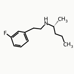 CCC[C@@H](C)NCCc1cccc(F)c1